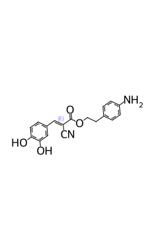 N#C/C(=C\c1ccc(O)c(O)c1)C(=O)OCCc1ccc(N)cc1